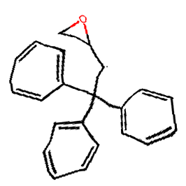 [CH](C1CO1)C(c1ccccc1)(c1ccccc1)c1ccccc1